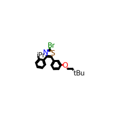 CC(C)c1ccccc1-c1nc(Br)sc1-c1cccc(OCCC(C)(C)C)c1